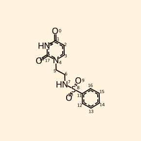 O=c1ccn(CCNS(=O)(=O)c2ccccc2)c(=O)[nH]1